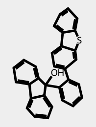 OC1(c2ccccc2-c2ccc3c(c2)sc2ccccc23)c2ccccc2-c2ccccc21